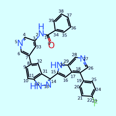 O=C(Nc1cncc(-c2ccc3[nH]nc(-c4cc5c(-c6ccc(F)cc6)cncc5[nH]4)c3c2)c1)c1ccccc1